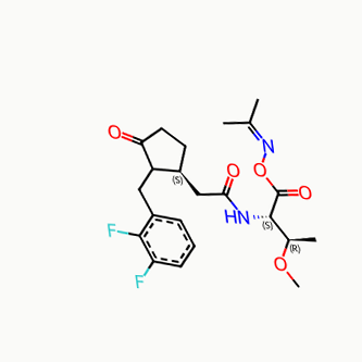 CO[C@H](C)[C@H](NC(=O)C[C@@H]1CCC(=O)C1Cc1cccc(F)c1F)C(=O)ON=C(C)C